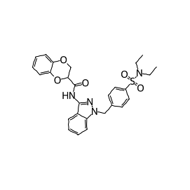 CCN(CC)S(=O)(=O)c1ccc(Cn2nc(NC(=O)C3COc4ccccc4O3)c3ccccc32)cc1